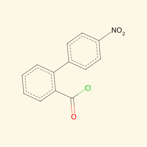 O=C(Cl)c1ccccc1-c1ccc([N+](=O)[O-])cc1